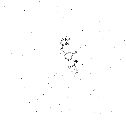 CC(C)(C)OC(=O)Nc1ccc(Oc2cc[nH]n2)cc1F